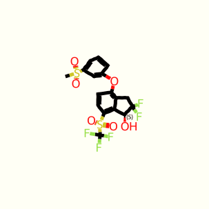 CS(=O)(=O)c1cccc(Oc2ccc(S(=O)(=O)C(F)(F)F)c3c2CC(F)(F)[C@H]3O)c1